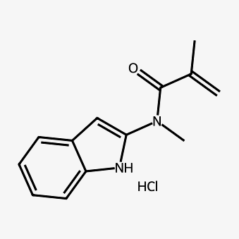 C=C(C)C(=O)N(C)c1cc2ccccc2[nH]1.Cl